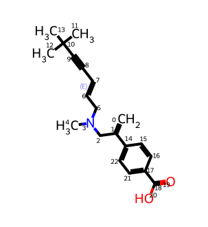 C=C(CN(C)C/C=C/C#CC(C)(C)C)c1ccc(C(=O)O)cc1